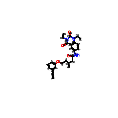 C#Cc1cccc(OCCC(C)CC(=O)Nc2ccc3c(c2)c(=O)n(CC)c(=O)n3CC)c1